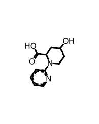 O=C(O)C1CC(O)CCN1c1ccccn1